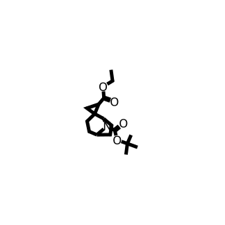 CCOC(=O)C1CC12CCC1CCC2N1C(=O)OC(C)(C)C